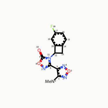 CNc1nonc1-c1noc(=O)n1C1Cc2ccc(F)cc21